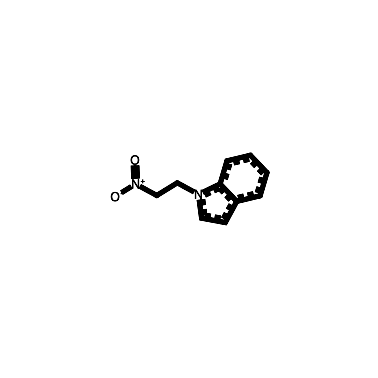 O=[N+]([O-])CCn1ccc2ccccc21